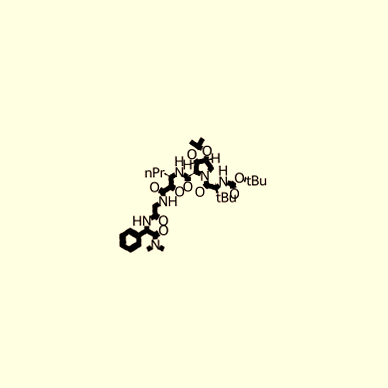 CCC[C@H](NC(=O)[C@@H]1[C@H]2OC(C)(C)O[C@H]2CN1C(=O)[C@@H](NC(=O)OC(C)(C)C)C(C)(C)C)C(=O)C(=O)NCC(=O)NC(C(=O)N(C)C)c1ccccc1